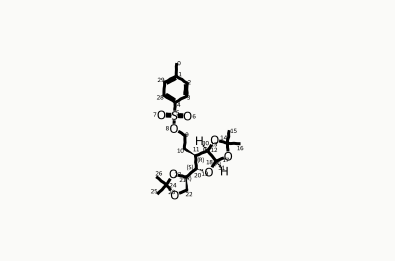 Cc1ccc(S(=O)(=O)OCC[C@H]2[C@H]3OC(C)(C)O[C@H]3O[C@@H]2[C@H]2COC(C)(C)O2)cc1